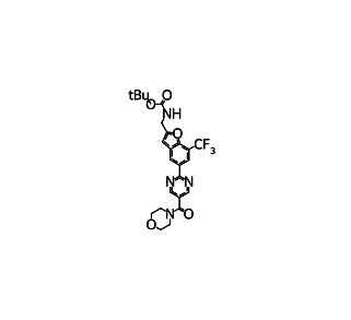 CC(C)(C)OC(=O)NCc1cc2cc(-c3ncc(C(=O)N4CCOCC4)cn3)cc(C(F)(F)F)c2o1